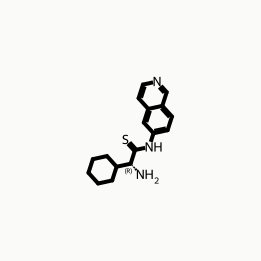 N[C@@H](C(=S)Nc1ccc2cnccc2c1)C1CCCCC1